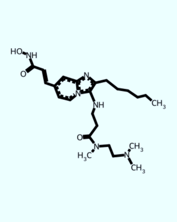 CCCCCCc1nc2cc(C=CC(=O)NO)ccn2c1NCCC(=O)N(C)CCN(C)C